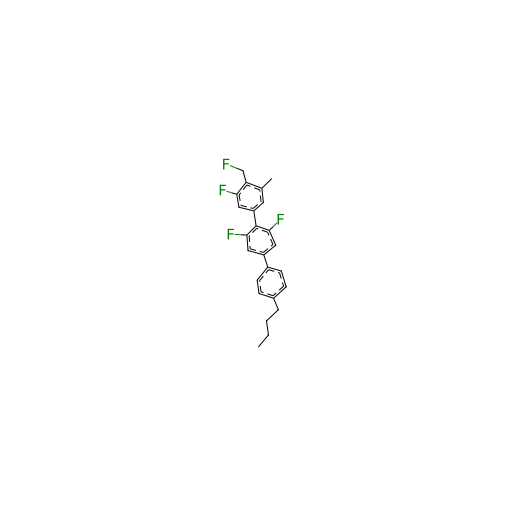 CCCCc1ccc(-c2cc(F)c(-c3cc(C)c(CF)c(F)c3)c(F)c2)cc1